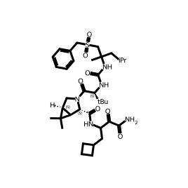 CC(C)CC(C)(CS(=O)(=O)Cc1ccccc1)NC(=O)N[C@H](C(=O)N1C[C@H]2C([C@H]1C(=O)NC(CC1CCC1)C(=O)C(N)=O)C2(C)C)C(C)(C)C